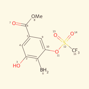 Bc1c(O)cc(C(=O)OC)cc1OS(=O)(=O)C(F)(F)F